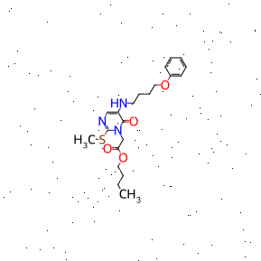 CCCCOC(=O)Cn1c(SC)ncc(NCCCCOc2ccccc2)c1=O